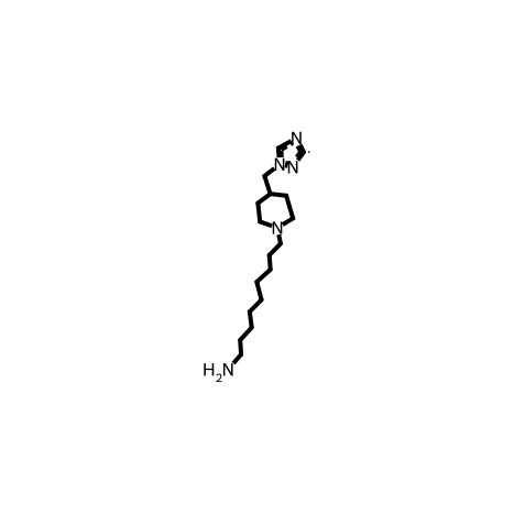 NCCCCCCCCCN1CCC(Cn2cn[c]n2)CC1